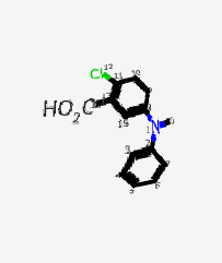 CN(c1ccccc1)c1ccc(Cl)c(C(=O)O)c1